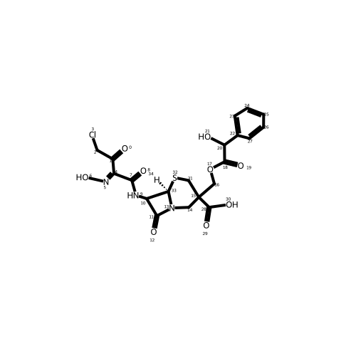 O=C(CCl)C(=NO)C(=O)NC1C(=O)N2CC(COC(=O)C(O)c3ccccc3)(C(=O)O)CS[C@H]12